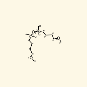 COCCCC[Si](C)(C)O[Si](C)(C)CCCCOC